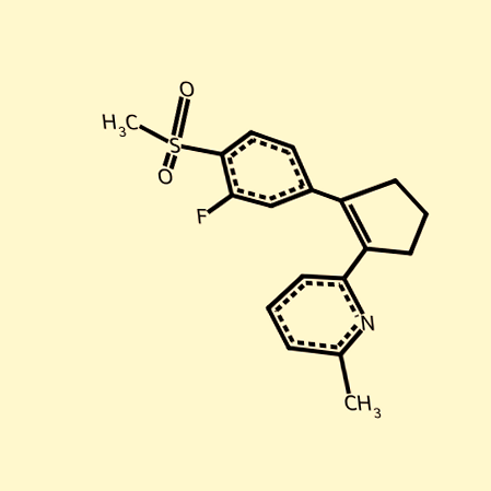 Cc1cccc(C2=C(c3ccc(S(C)(=O)=O)c(F)c3)CCC2)n1